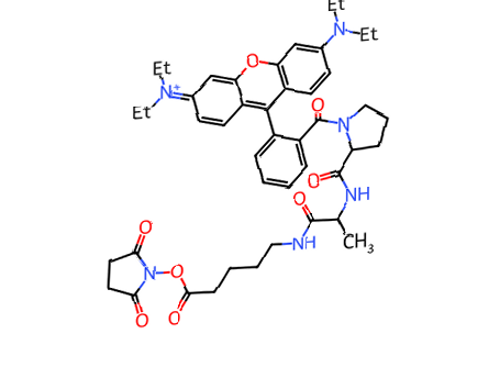 CCN(CC)c1ccc2c(-c3ccccc3C(=O)N3CCCC3C(=O)NC(C)C(=O)NCCCCC(=O)ON3C(=O)CCC3=O)c3ccc(=[N+](CC)CC)cc-3oc2c1